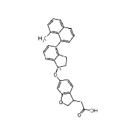 Cc1cccc2cccc(-c3cccc4c3CC[C@H]4Oc3ccc4c(c3)OCC4CC(=O)O)c12